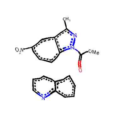 COC(=O)n1nc(C)c2cc([N+](=O)[O-])ccc21.c1ccc2ncccc2c1